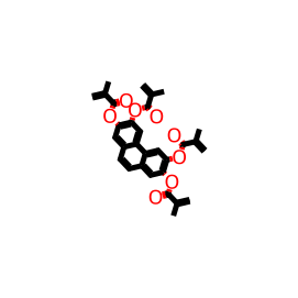 C=C(C)C(=O)Oc1cc2ccc3cc(OC(=O)C(=C)C)c(OC(=O)C(=C)C)cc3c2cc1OC(=O)C(=C)C